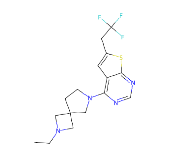 CCN1CC2(CCN(c3ncnc4sc(CC(F)(F)F)cc34)C2)C1